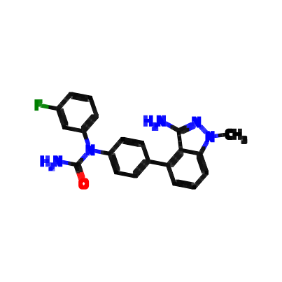 Cn1nc(N)c2c(-c3ccc(N(C(N)=O)c4cccc(F)c4)cc3)cccc21